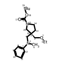 CCOC[C@]1(CN(C)c2ccccc2)CCN(C(=O)OC(C)(C)C)C1